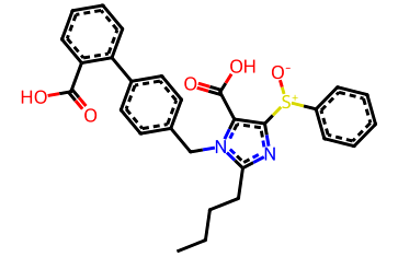 CCCCc1nc([S+]([O-])c2ccccc2)c(C(=O)O)n1Cc1ccc(-c2ccccc2C(=O)O)cc1